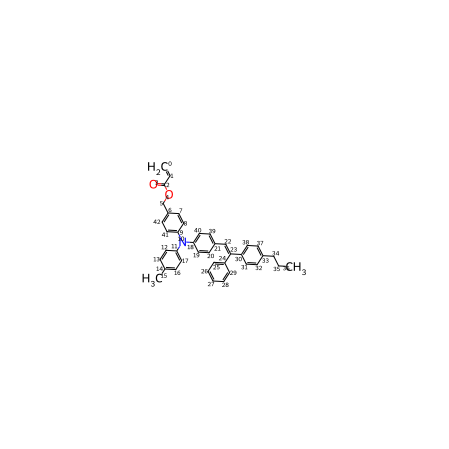 C=CC(=O)OCc1ccc(N(c2ccc(C)cc2)c2ccc(/C=C(\c3ccccc3)c3ccc(CCC)cc3)cc2)cc1